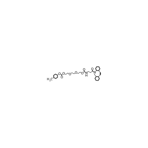 Cc1ccc(OC(=O)OCCOCCOCCOC(=O)NCCC(=O)N2Cc3ccccc3C#Cc3ccccc32)cc1